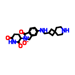 O=C1CCC([N+]2([O-])Cc3cc(NCC4CC5(CCNCC5)C4)ccc3C2=O)C(=O)N1